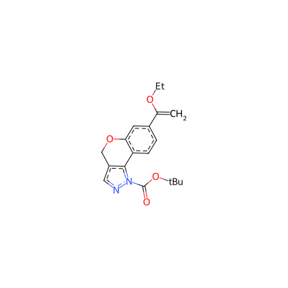 C=C(OCC)c1ccc2c(c1)OCc1cnn(C(=O)OC(C)(C)C)c1-2